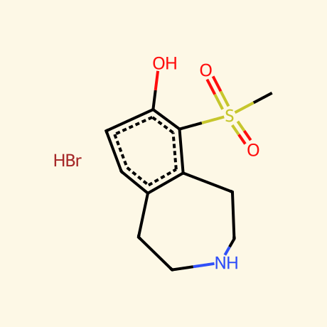 Br.CS(=O)(=O)c1c(O)ccc2c1CCNCC2